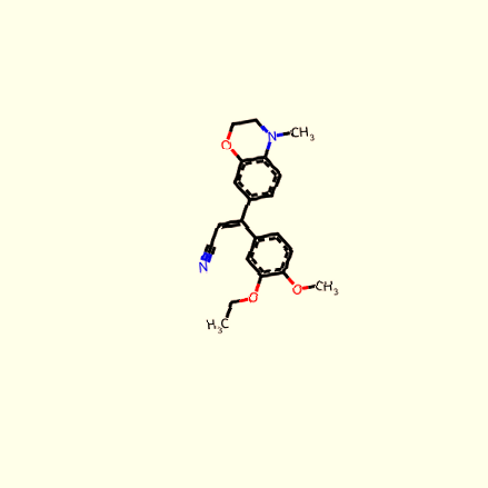 CCOc1cc(C(=CC#N)c2ccc3c(c2)OCCN3C)ccc1OC